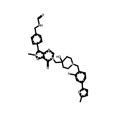 Cc1ccc(-c2ccc(CN3CCC(O)(Cn4cnc5c(-c6ccc(CNC=O)cc6)n(C)nc5c4=O)CC3)c(F)c2)s1